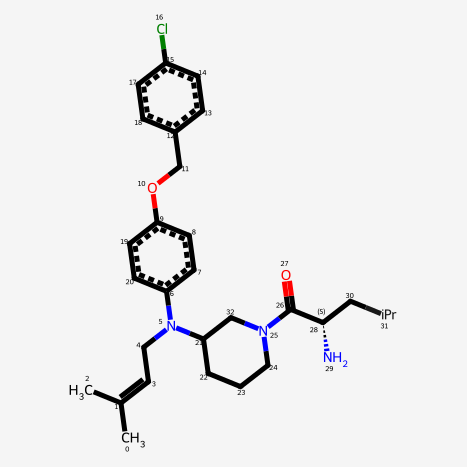 CC(C)=CCN(c1ccc(OCc2ccc(Cl)cc2)cc1)C1CCCN(C(=O)[C@@H](N)CC(C)C)C1